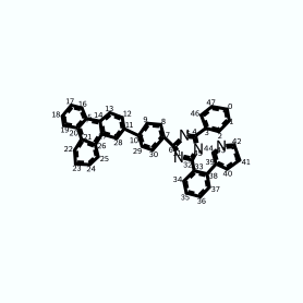 c1ccc(-c2nc(-c3ccc(-c4ccc5c6ccccc6c6ccccc6c5c4)cc3)nc(-c3ccccc3-c3cccnc3)n2)cc1